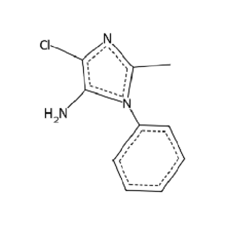 Cc1nc(Cl)c(N)n1-c1ccccc1